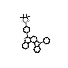 CC1(C)OB(c2ccc(-c3nc4ccccc4c4c3ccc3c4c4ccccc4n3-c3ccccc3)cc2)OC1(C)C